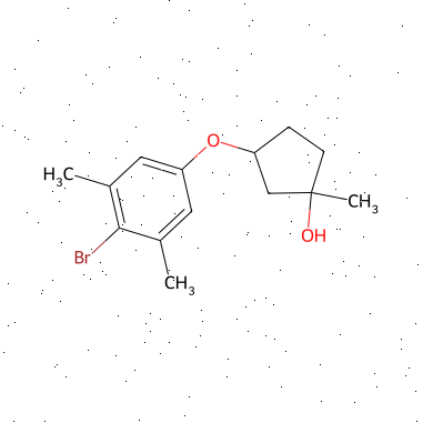 Cc1cc(OC2CCC(C)(O)C2)cc(C)c1Br